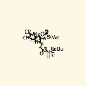 CCCCOC(=O)NOC(=O)CCc1nc2cc(Cl)c(Cl)cc2cc1CP(=O)(OC)OC